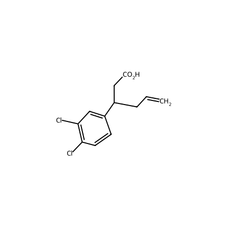 C=CCC(CC(=O)O)c1ccc(Cl)c(Cl)c1